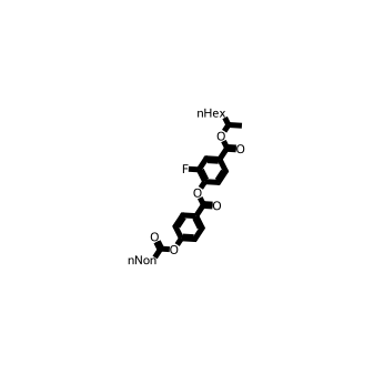 CCCCCCCCCC(=O)Oc1ccc(C(=O)Oc2ccc(C(=O)OC(C)CCCCCC)cc2F)cc1